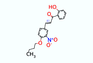 CCCCOc1ccc(/C=C/C(=O)c2ccccc2O)cc1[N+](=O)[O-]